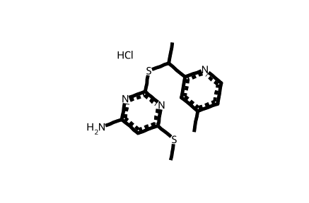 CSc1cc(N)nc(SC(C)c2cc(C)ccn2)n1.Cl